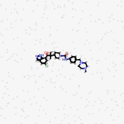 CN1CCN(Cc2ccc(NC(=O)N3CCC(C(C)(C)C(O)c4cc(Cl)cc5cn[nH]c45)CC3)cc2)CC1